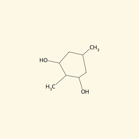 CC1CC(O)C(C)C(O)C1